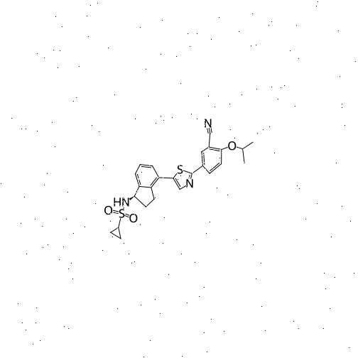 CC(C)Oc1ccc(-c2ncc(-c3cccc4c3CC[C@H]4NS(=O)(=O)C3CC3)s2)cc1C#N